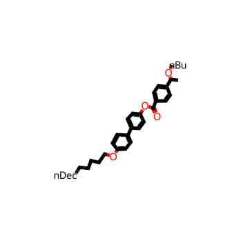 CCCCCCCCCCCCCCCOc1ccc(-c2ccc(OC(=O)c3ccc(C(C)OCCCC)cc3)cc2)cc1